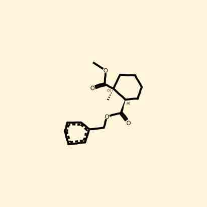 COC(=O)[C@@]1(C)CCCC[C@H]1C(=O)OCc1ccccc1